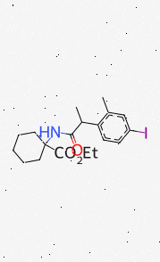 CCOC(=O)C1(NC(=O)C(C)c2ccc(I)cc2C)CCCCC1